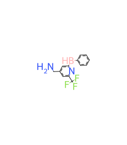 NCc1cc(Bc2ccccc2)nc(C(F)(F)F)c1